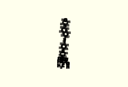 CC(NS(=O)(=O)N1CCN(c2ccc(C#Cc3ccc4cc(N5CCOCC5)ccc4c3)cc2)CC1)C(=O)O